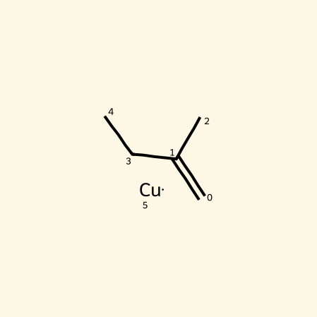 C=C(C)CC.[Cu]